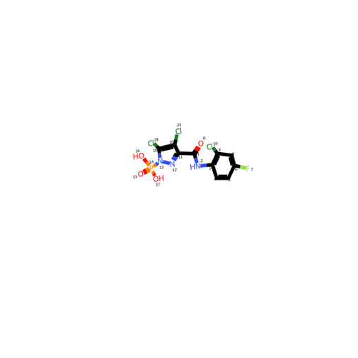 O=C(Nc1ccc(F)cc1Cl)c1nn(P(=O)(O)O)c(Cl)c1Cl